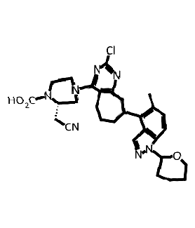 Cc1ccc2c(cnn2C2CCCCO2)c1C1CCCc2c(nc(Cl)nc2N2CCN(C(=O)O)[C@@H](CC#N)C2)C1